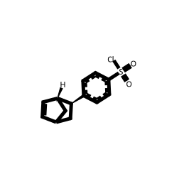 O=S(=O)(Cl)c1ccc([C@H]2CC3C=C[C@H]2C3)cc1